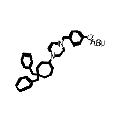 CCCCOc1ccc(CN2CCN(C3CCCC(Cc4ccccc4)(Cc4ccccc4)CC3)CC2)cc1